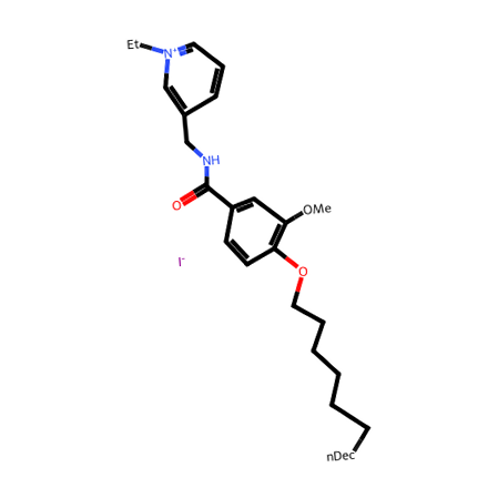 CCCCCCCCCCCCCCCCOc1ccc(C(=O)NCc2ccc[n+](CC)c2)cc1OC.[I-]